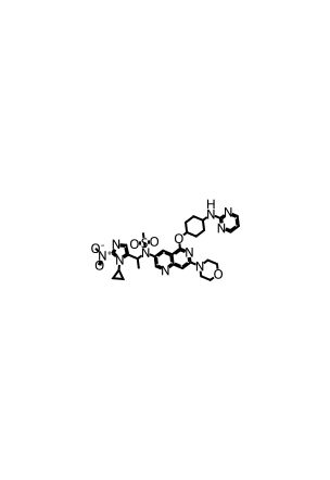 CC(c1cnc([N+](=O)[O-])n1C1CC1)N(c1cnc2cc(N3CCOCC3)nc(OC3CCC(Nc4ncccn4)CC3)c2c1)S(C)(=O)=O